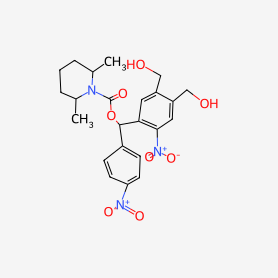 CC1CCCC(C)N1C(=O)OC(c1ccc([N+](=O)[O-])cc1)c1cc(CO)c(CO)cc1[N+](=O)[O-]